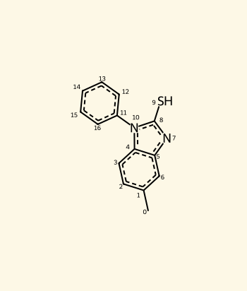 Cc1ccc2c(c1)nc(S)n2-c1ccccc1